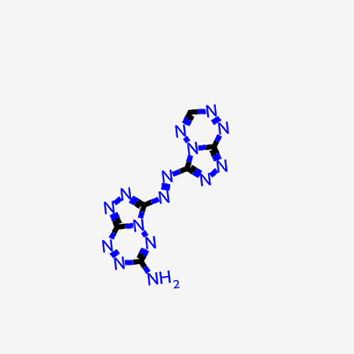 Nc1nnc2nnc(N=Nc3nnc4nncnn34)n2n1